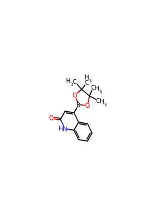 CC1(C)OB(c2cc(=O)[nH]c3ccccc23)OC1(C)C